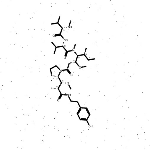 CC[C@H](C)[C@@H]([C@@H](CC(=O)N1CCC[C@H]1[C@H](OC)[C@@H](C)C(=O)NCCc1ccc(O)cc1)OC)N(C)C(=O)[C@@H](NC(=O)[C@@H](NC)C(C)C)C(C)C